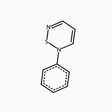 C1=CN(c2ccccc2)SN=C1